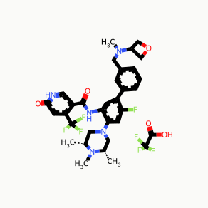 C[C@@H]1CN(c2cc(F)c(-c3cccc(CN(C)C4COC4)c3)cc2NC(=O)c2c[nH]c(=O)cc2C(F)(F)F)C[C@H](C)N1C.O=C(O)C(F)(F)F